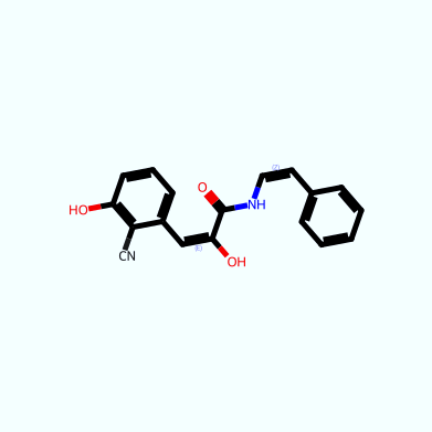 N#Cc1c(O)cccc1/C=C(/O)C(=O)N/C=C\c1ccccc1